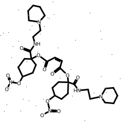 O=C(/C=C\C(=O)OC1(C(=O)NCCN2CCCCC2)CCC(O[N+](=O)[O-])CC1)OC1(C(=O)NCCN2CCCCC2)CCC(O[N+](=O)[O-])CC1